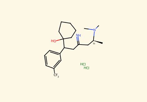 C[C@@H](CC(=N)CC(c1cccc(C(F)(F)F)c1)C1(O)CCCCC1)N(C)C.Cl.Cl